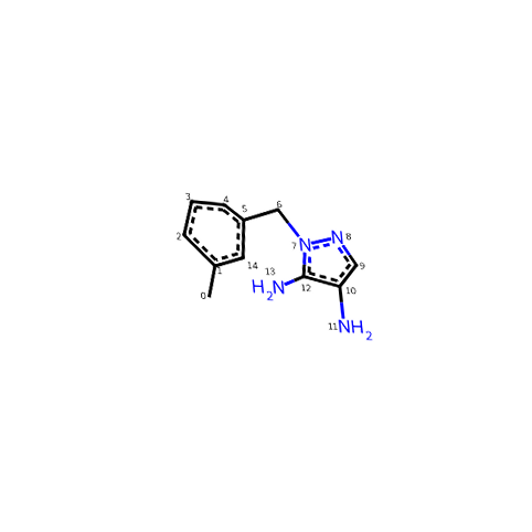 Cc1cccc(Cn2ncc(N)c2N)c1